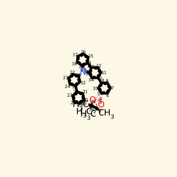 CC1(C)OB(c2cccc(-c3ccc4c5ccccc5n(-c5cccc(-c6ccccc6)c5)c4c3)c2)OC1(C)C